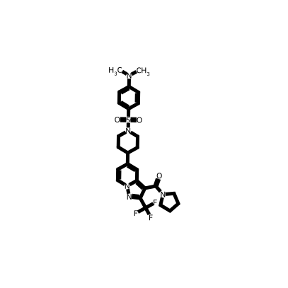 CN(C)c1ccc(S(=O)(=O)N2CCC(c3ccn4nc(C(F)(F)F)c(C(=O)N5CCCC5)c4c3)CC2)cc1